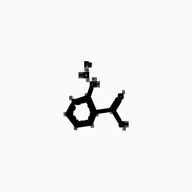 Cl.O=C(O)c1cccnc1O.[Fe]